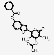 CC(=O)Oc1c(C)c(-c2cc3cc(OC(=O)c4ccccc4)ccc3o2)oc(=O)c1C